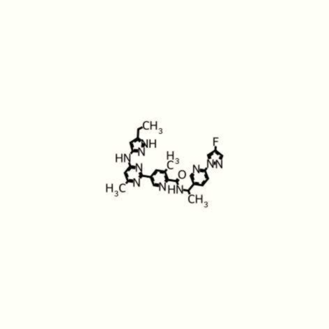 CCc1cc(Nc2cc(C)nc(-c3cnc(C(=O)NC(C)c4ccc(-n5cc(F)cn5)nc4)c(C)c3)n2)n[nH]1